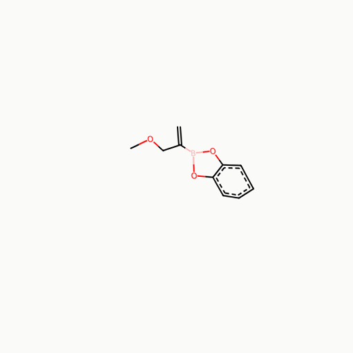 C=C(COC)B1Oc2ccccc2O1